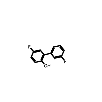 Oc1ccc(F)cc1-c1[c]c(F)ccc1